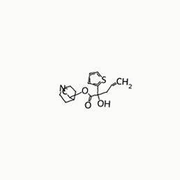 C=CCC(O)(C(=O)OC1CN2CCC1CC2)c1cccs1